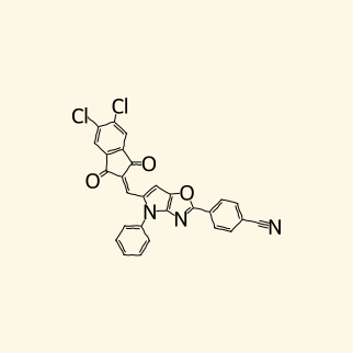 N#Cc1ccc(-c2nc3c(cc(C=C4C(=O)c5cc(Cl)c(Cl)cc5C4=O)n3-c3ccccc3)o2)cc1